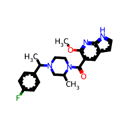 COc1nc2[nH]ccc2cc1C(=O)N1CCN(C(C)c2ccc(F)cc2)CC1C